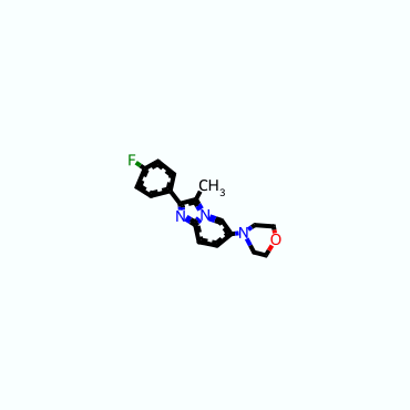 Cc1c(-c2ccc(F)cc2)nc2ccc(N3CCOCC3)cn12